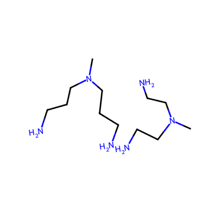 CN(CCCN)CCCN.CN(CCN)CCN